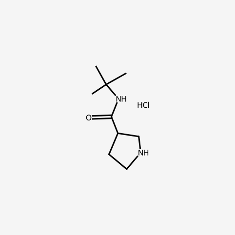 CC(C)(C)NC(=O)C1CCNC1.Cl